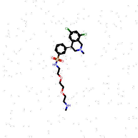 CNCCOCCOCCNS(=O)(=O)c1cccc([C@@H]2CN(C)Cc3c(Cl)cc(Cl)cc32)c1